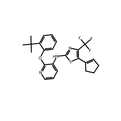 CC(C)(C)c1ccccc1Oc1ncccc1Nc1nc(C(F)(F)F)c(C2=CCCC2)s1